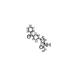 C=CC(=O)Nc1csc(-c2ccc(C(=O)c3ccccc3)cc2)c1